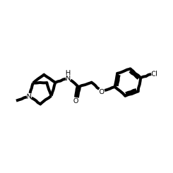 CN1CC2CC1CC2NC(=O)COc1ccc(Cl)cc1